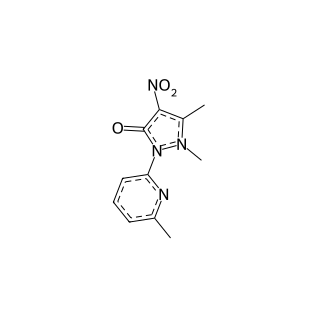 Cc1cccc(-n2c(=O)c([N+](=O)[O-])c(C)n2C)n1